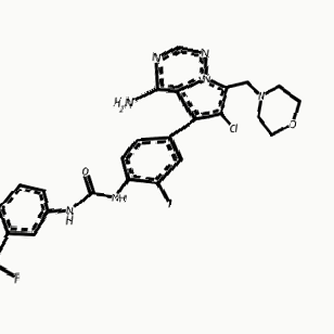 Nc1ncnn2c(CN3CCOCC3)c(Cl)c(-c3ccc(NC(=O)Nc4cccc(C(F)(F)F)c4)c(I)c3)c12